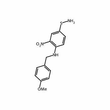 COc1ccc(CNc2ccc(SN)cc2[N+](=O)[O-])cc1